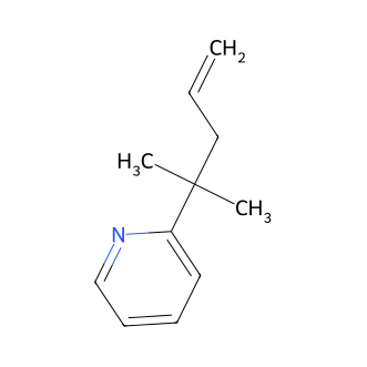 C=CCC(C)(C)c1ccccn1